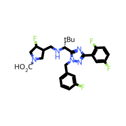 CC(C)(C)[C@@H](NCC1CN(C(=O)O)CC1F)c1nc(-c2cc(F)ccc2F)nn1Cc1cccc(F)c1